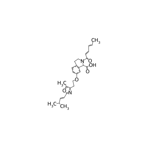 CC=CC=CC(=O)N1CCc2ccc(OCCc3nc(C=CC(C)C)oc3C)cc2C1C(=O)O